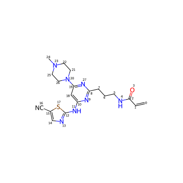 C=CC(=O)NCCCc1nc(Nc2ncc(C#N)s2)cc(N2CCN(C)CC2)n1